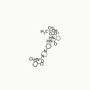 CC(C)(C)OC(=O)NC1(C(=O)Nc2ccc(N3CCN(C(=O)Nc4c(Cl)cccc4Cl)CC3)cc2)CCCC1